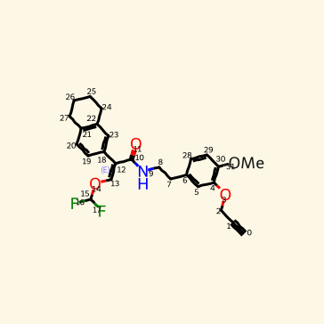 C#CCOc1cc(CCNC(=O)/C(=C/OC(F)F)c2ccc3c(c2)CCCC3)ccc1OC